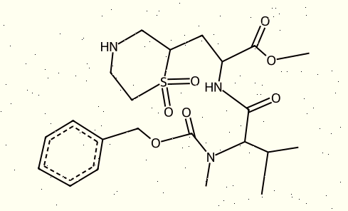 COC(=O)C(CC1CNCCS1(=O)=O)NC(=O)C(C(C)C)N(C)C(=O)OCc1ccccc1